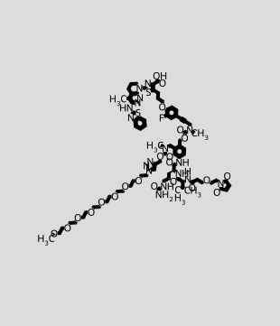 COCCOCCOCCOCCOCCOCCOCCOCCn1cc(COC(=O)N(C)Cc2cc(NC(=O)[C@H](CCCNC(N)=O)NC(=O)[C@@H](NC(=O)CCOCCN3C(=O)C=CC3=O)C(C)C)ccc2COC(=O)N(C)CC#Cc2ccc(OCCCc3sc(N4CCCc5c4nnc(Nc4nc6ccccc6s4)c5C)nc3C(=O)O)c(F)c2)nn1